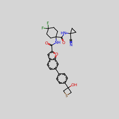 N#CC1(NC(=O)C2(NC(=O)c3cc4ccc(-c5ccc(C6(O)CSC6)cc5)cc4o3)CCC(F)(F)CC2)CC1